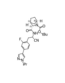 CC(C)n1cc(-c2ccc(CC(C#N)NC(=O)[C@@H]3[C@H]4CC[C@H](C4)N3C(=O)OC(C)(C)C)c(F)c2)cn1